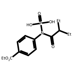 CCOC(=O)c1ccc(N(C(=O)C(CC)CC)P(=O)(O)O)cc1